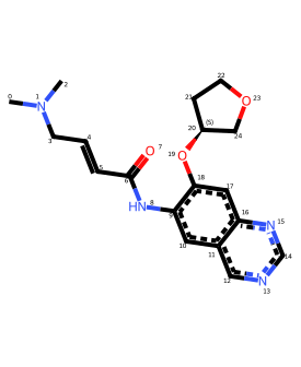 CN(C)CC=CC(=O)Nc1cc2cncnc2cc1O[C@H]1CCOC1